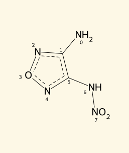 Nc1nonc1N[N+](=O)[O-]